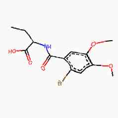 CCC(NC(=O)c1cc(OC)c(OC)cc1Br)C(=O)O